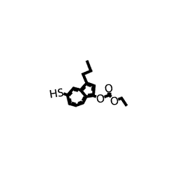 CCCc1cc(OC(=O)OCC)c2cccc(S)cc1-2